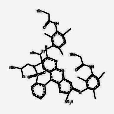 CCCCC(CC)CN(CC(CC)CCCC)S(=O)(=O)c1ccccc1-c1c2cc(S(=O)(=O)O)/c(=N/c3c(C)cc(C)c(NC(=O)CC(C)(C)C)c3C)cc-2oc2cc(Nc3c(C)cc(C)c(NC(=O)CC(C)(C)C)c3C)ccc12